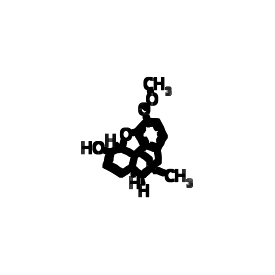 COOc1ccc2c3c1O[C@H]1C(O)=C=C[C@H]4[C@@H](C2)N(C)CC[C@]314